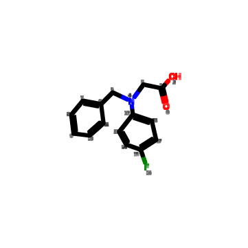 O=C(O)CN(Cc1ccccc1)c1ccc(F)cc1